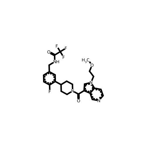 COCCn1cc(C(=O)N2CCC(c3cc(CNC(=O)C(F)(F)F)ccc3F)CC2)c2cnccc21